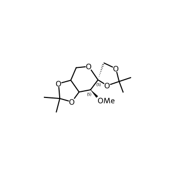 CO[C@H]1C2OC(C)(C)OC2CO[C@]12COC(C)(C)O2